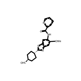 COc1cc2nc([C@H]3CC[C@H](C=O)CC3)sc2cc1NC(=O)c1ccccn1